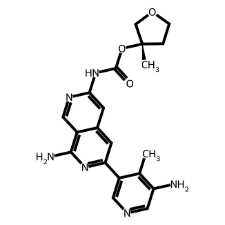 Cc1c(N)cncc1-c1cc2cc(NC(=O)O[C@@]3(C)CCOC3)ncc2c(N)n1